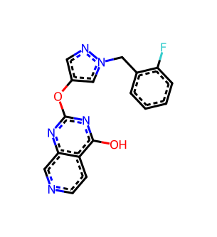 Oc1nc(Oc2cnn(Cc3ccccc3F)c2)nc2cnccc12